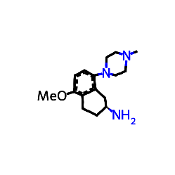 COc1ccc(N2CCN(C)CC2)c2c1CC[C@H](N)C2